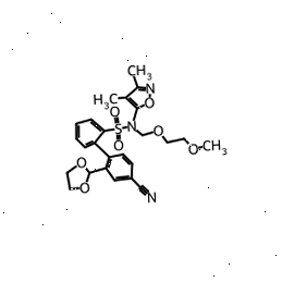 COCCOCN(c1onc(C)c1C)S(=O)(=O)c1ccccc1-c1ccc(C#N)cc1C1OCCO1